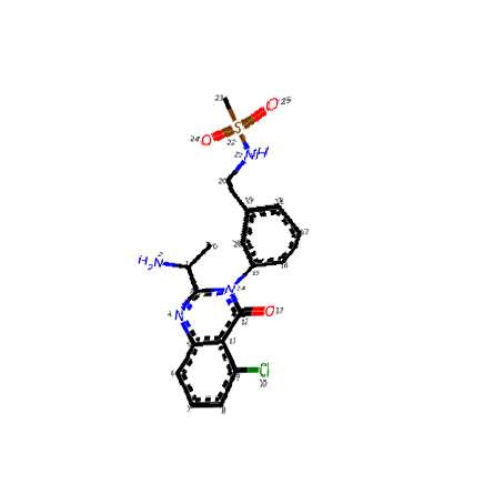 CC(N)c1nc2cccc(Cl)c2c(=O)n1-c1cccc(CNS(C)(=O)=O)c1